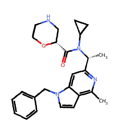 Cc1nc([C@@H](C)N(C(=O)[C@H]2CNCCO2)C2CC2)cc2c1ccn2Cc1ccccc1